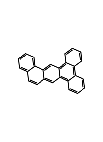 c1ccc2c(c1)ccc1cc3c4ccccc4c4ccccc4c3cc12